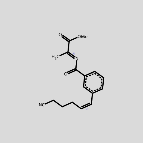 COC(=O)/C(C)=N/C(=O)c1cccc(/C=C\CCCC#N)c1